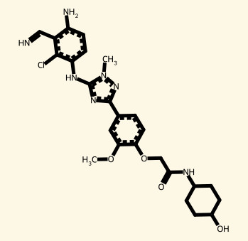 COc1cc(-c2nc(Nc3ccc(N)c(C=N)c3Cl)n(C)n2)ccc1OCC(=O)NC1CCC(O)CC1